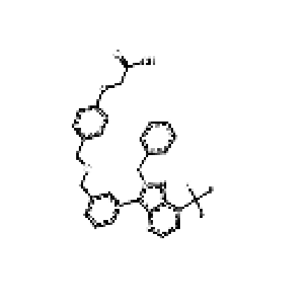 O=C(O)COc1ccc(COCc2cccc(-c3c4cccc(C(F)(F)F)c4nn3Cc3ccccc3)c2)cc1